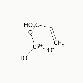 C=CC(=O)O.[O-][Cl+2]([O-])O